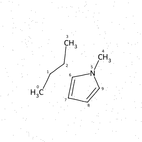 CCCC.Cn1cccc1